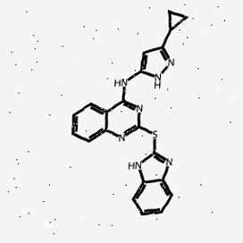 c1ccc2[nH]c(Sc3nc(Nc4cc(C5CC5)n[nH]4)c4ccccc4n3)nc2c1